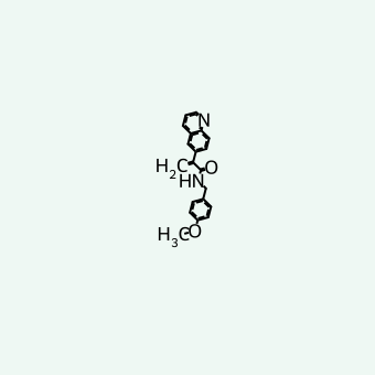 C=C(C(=O)NCc1ccc(OC)cc1)c1ccc2ncccc2c1